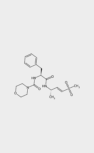 C[C@@H](/C=C/S(C)(=O)=O)NC(=O)[C@H](Cc1ccccc1)NC(=O)N1CCOCC1